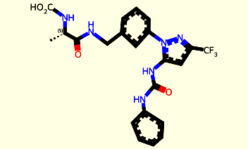 C[C@H](NC(=O)O)C(=O)NCc1cccc(-n2nc(C(F)(F)F)cc2NC(=O)Nc2ccccc2)c1